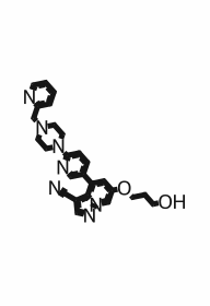 N#Cc1cnn2cc(OCCCO)cc(-c3ccc(N4CCN(Cc5ccccn5)CC4)nc3)c12